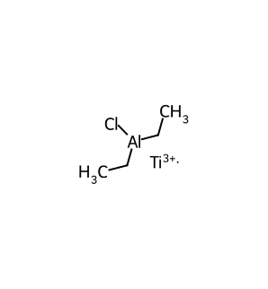 C[CH2][Al]([Cl])[CH2]C.[Ti+3]